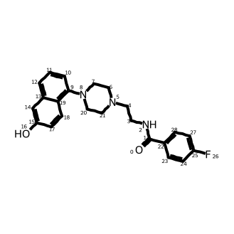 O=C(NCCN1CCN(c2cccc3cc(O)ccc23)CC1)c1ccc(F)cc1